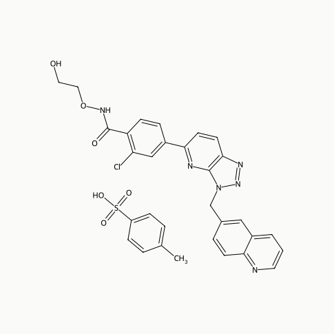 Cc1ccc(S(=O)(=O)O)cc1.O=C(NOCCO)c1ccc(-c2ccc3nnn(Cc4ccc5ncccc5c4)c3n2)cc1Cl